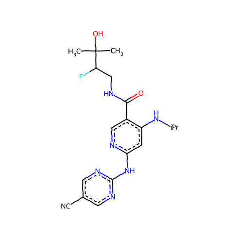 CC(C)Nc1cc(Nc2ncc(C#N)cn2)ncc1C(=O)NCC(F)C(C)(C)O